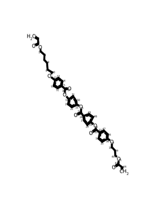 C=CC(=O)OCCCCCCOc1ccc(C(=O)Oc2ccc(OC(=O)c3ccc(OC(=O)c4ccc(OCCCOC(=O)C=C)cc4)cc3)cc2)cc1